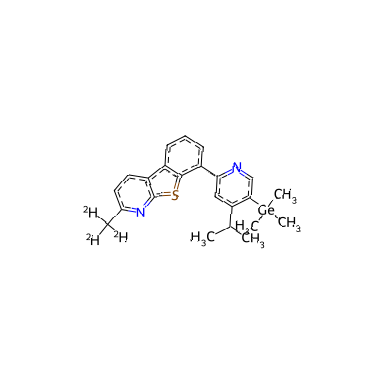 [2H]C([2H])([2H])c1ccc2c(n1)sc1c(-c3cc(C(C)C)[c]([Ge]([CH3])([CH3])[CH3])cn3)cccc12